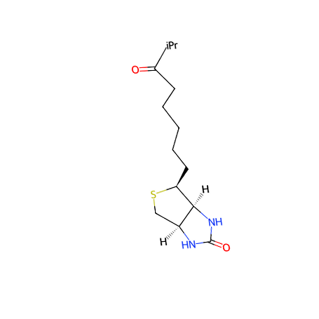 CC(C)C(=O)CCCCC[C@@H]1SC[C@@H]2NC(=O)N[C@@H]21